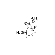 COC(=O)C1(F)CCCN(C)C1